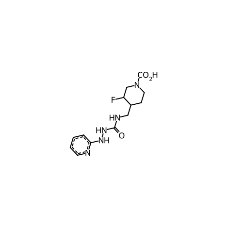 O=C(NCC1CCN(C(=O)O)CC1F)NNc1ccccn1